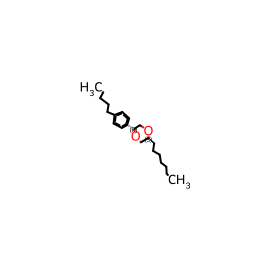 CCCCCCC[C@H]1CO[C@H](c2ccc(CCCCC)cc2)CO1